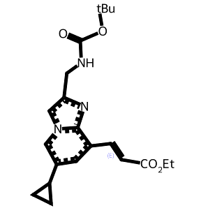 CCOC(=O)/C=C/c1cc(C2CC2)cn2cc(CNC(=O)OC(C)(C)C)nc12